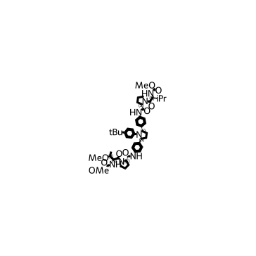 COC(=O)N[C@H](C(=O)N1CCC[C@H]1C(=O)Nc1ccc([C@@H]2CC[C@@H](c3ccc(NC(=O)[C@@H]4CCCN4C(=O)[C@@H](NC(=O)OC)[C@@H](C)OC)cc3)N2c2ccc(C(C)(C)C)cc2)cc1)C(C)C